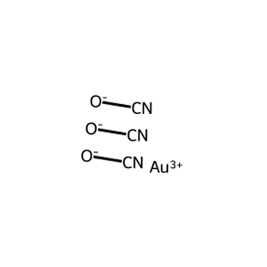 N#C[O-].N#C[O-].N#C[O-].[Au+3]